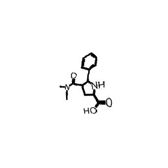 CN(C)C(=O)C1CC(C(=O)O)NC1c1ccccc1